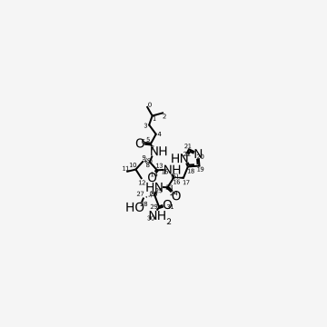 CC(C)CCC(=O)N[C@@H](CC(C)C)C(=O)N[C@@H](Cc1cnc[nH]1)C(=O)N[C@@H](CO)C(N)=O